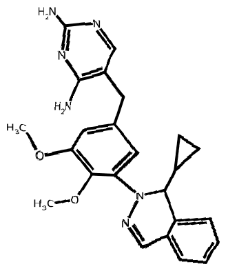 COc1cc(Cc2cnc(N)nc2N)cc(N2N=Cc3ccccc3C2C2CC2)c1OC